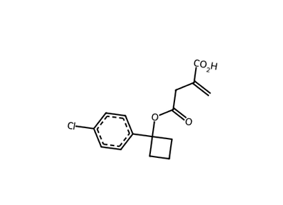 C=C(CC(=O)OC1(c2ccc(Cl)cc2)CCC1)C(=O)O